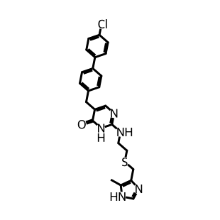 Cc1[nH]cnc1CSCCNc1ncc(Cc2ccc(-c3ccc(Cl)cc3)cc2)c(=O)[nH]1